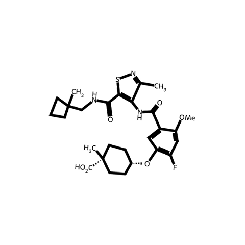 COc1cc(F)c(O[C@H]2CC[C@@](C)(C(=O)O)CC2)cc1C(=O)Nc1c(C)nsc1C(=O)NCC1(C)CCC1